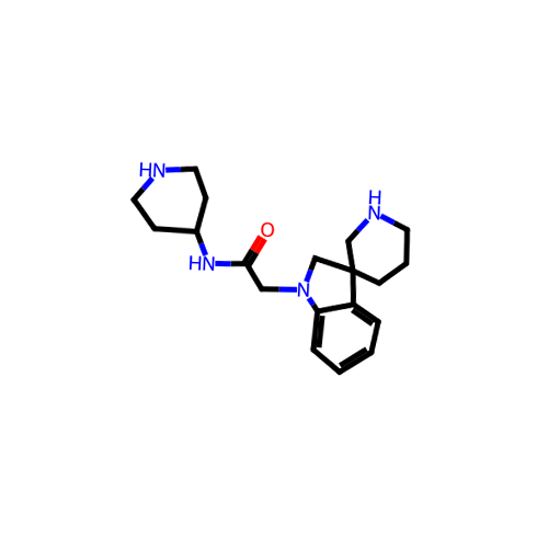 O=C(CN1CC2(CCCNC2)c2ccccc21)NC1CCNCC1